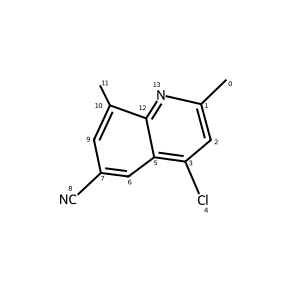 Cc1cc(Cl)c2cc(C#N)cc(C)c2n1